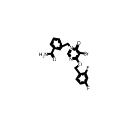 NC(=O)c1cccc(Cn2cnc(OCc3ccc(F)cc3F)c(Br)c2=O)c1